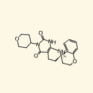 O=c1[nH]c2c(c(=O)n1C1CCOCC1)CC[C@@]1(CCOc3ccccc31)N2